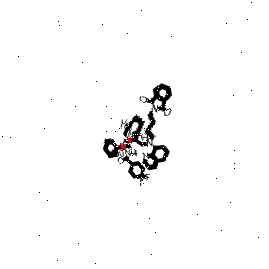 CC(C)(C)OC(=O)N1C[C@@H]2CC[C@H](C1CN(CCCCN1C(=O)c3ccccc3C1=O)[C@H]1CCCc3cccnc31)N2CC[C@H](NC(=O)C1CCC(F)(F)CC1)c1ccccc1